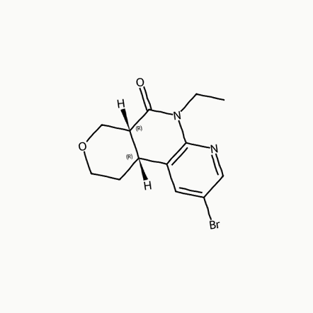 CCN1C(=O)[C@H]2COCC[C@H]2c2cc(Br)cnc21